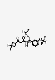 O=C(CC(=O)C1CC(F)(F)C1)N[C@@H](COC(F)F)c1cccc(OC(F)(F)F)c1